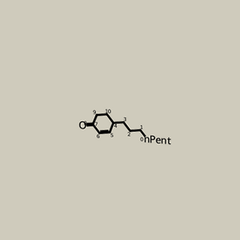 CCCCCCCCC1C=CC(=O)CC1